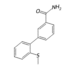 CSc1ccccc1-c1cccc(C(N)=O)c1